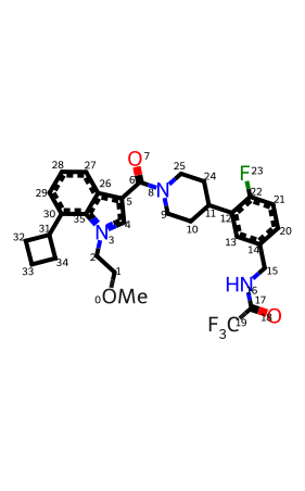 COCCn1cc(C(=O)N2CCC(c3cc(CNC(=O)C(F)(F)F)ccc3F)CC2)c2cccc(C3CCC3)c21